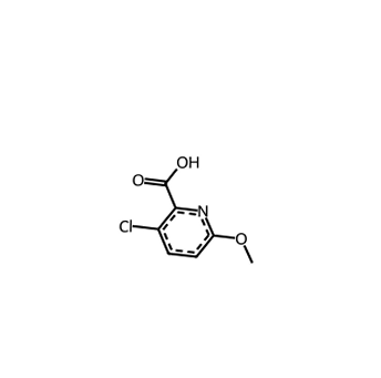 COc1ccc(Cl)c(C(=O)O)n1